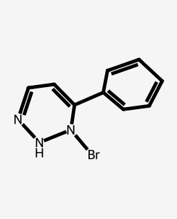 BrN1NN=CC=C1c1ccccc1